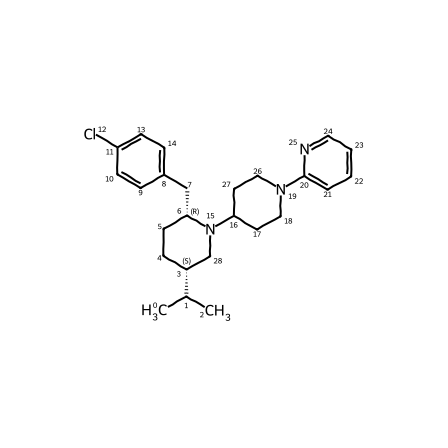 CC(C)[C@@H]1CC[C@H](Cc2ccc(Cl)cc2)N(C2CCN(c3ccccn3)CC2)C1